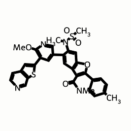 CNC(=O)c1c(-c2ccc(C)cc2)oc2cc(N(C)S(C)(=O)=O)c(-c3cnc(OC)c(-c4cc5ccncc5s4)c3)cc12